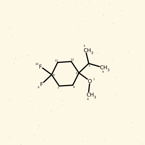 COC1(C(C)C)CCC(F)(F)CC1